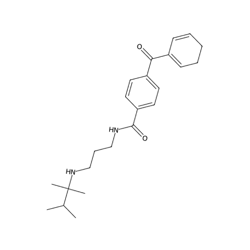 CC(C)C(C)(C)NCCCNC(=O)c1ccc(C(=O)C2=CCCC=C2)cc1